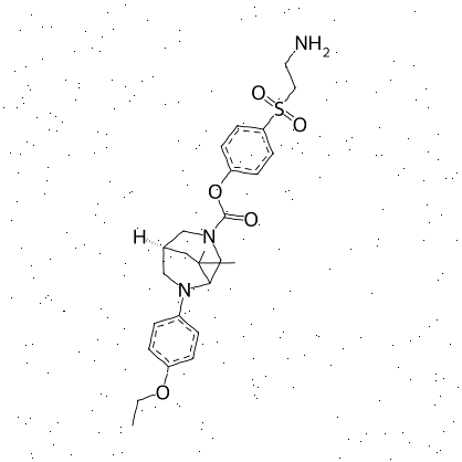 CCOc1ccc(N2C[C@H]3CN(C(=O)Oc4ccc(S(=O)(=O)CCN)cc4)CC2C(C)(C)C3)cc1